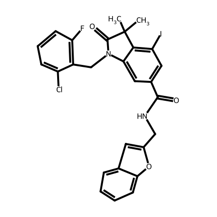 CC1(C)C(=O)N(Cc2c(F)cccc2Cl)c2cc(C(=O)NCc3cc4ccccc4o3)cc(I)c21